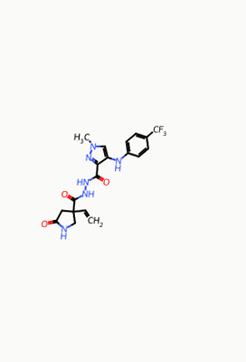 C=CC1(C(=O)NNC(=O)c2nn(C)cc2Nc2ccc(C(F)(F)F)cc2)CNC(=O)C1